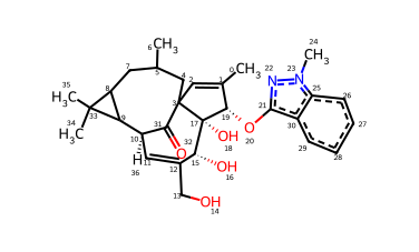 CC1=CC23CC(C)CC4C([C@H](C=C(CO)[C@@H](O)[C@]2(O)[C@H]1Oc1nn(C)c2ccccc12)C3=O)C4(C)C